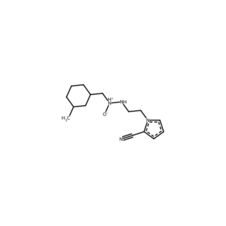 CC1CCCC(C[NH+]([O-])NCCn2cccc2C#N)C1